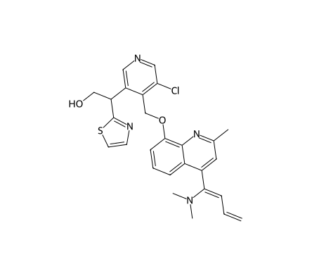 C=C/C=C(/c1cc(C)nc2c(OCc3c(Cl)cncc3C(CO)c3nccs3)cccc12)N(C)C